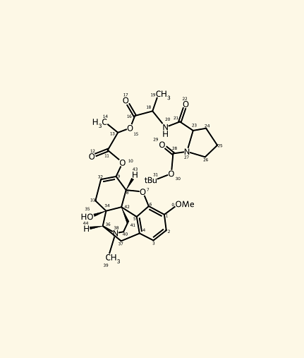 COc1ccc2c3c1O[C@H]1C(OC(=O)C(C)OC(=O)C(C)NC(=O)C4CCCN4C(=O)OC(C)(C)C)=CC[C@@]4(O)[C@@H](C2)N(C)CC[C@]314